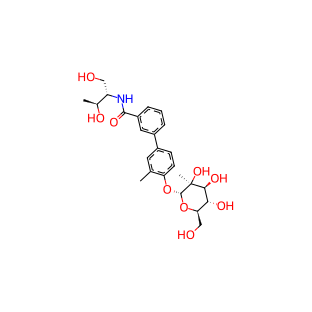 Cc1cc(-c2cccc(C(=O)N[C@@H](CO)[C@H](C)O)c2)ccc1O[C@H]1O[C@H](CO)[C@@H](O)[C@H](O)[C@]1(C)O